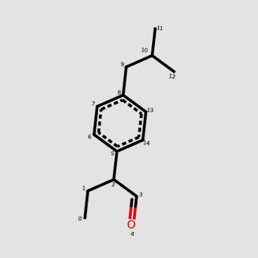 CCC(C=O)c1ccc(CC(C)C)cc1